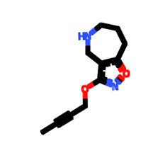 CC#CCOc1noc2c1CNCCC2